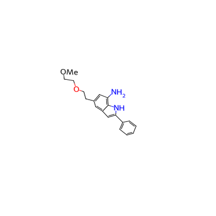 COCCOCCc1cc(N)c2[nH]c(-c3ccccc3)cc2c1